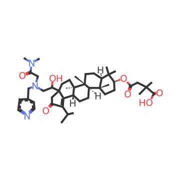 CC(C)C1=C2[C@H]3CC[C@@H]4[C@@]5(C)CC[C@H](OC(=O)CC(C)(C)C(=O)O)C(C)(C)[C@@H]5CC[C@@]4(C)[C@]3(C)CCC2(C(O)CN(CC(=O)N(C)C)Cc2ccncc2)CC1=O